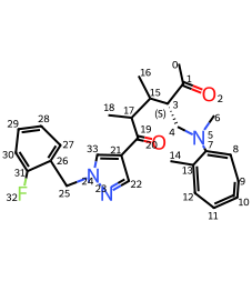 CC(=O)[C@H](CN(C)C1=CC=C=CC=C1C)C(C)C(C)C(=O)c1cnn(Cc2ccccc2F)c1